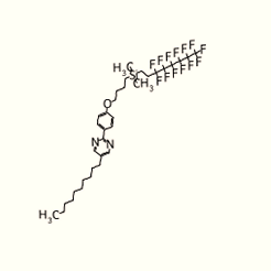 CCCCCCCCCCc1cnc(-c2ccc(OCCCC[Si](C)(C)CCC(F)(F)C(F)(F)C(F)(F)C(F)(F)C(F)(F)C(F)(F)F)cc2)nc1